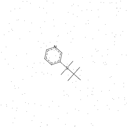 CC(C)(C)[Si](C)(C)c1cccnc1